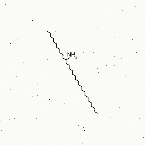 CCCCCCCCCCCCCCCCCCCCC(CN)CCCCCCCCCCC